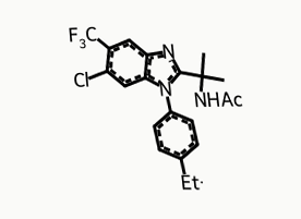 C[CH]c1ccc(-n2c(C(C)(C)NC(C)=O)nc3cc(C(F)(F)F)c(Cl)cc32)cc1